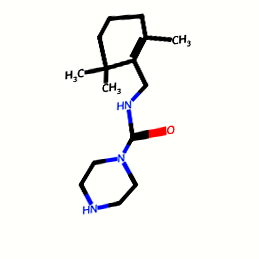 CC1=C(CNC(=O)N2CCNCC2)C(C)(C)CCC1